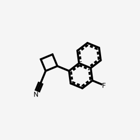 N#CC1CCC1c1ccc(F)c2ccccc12